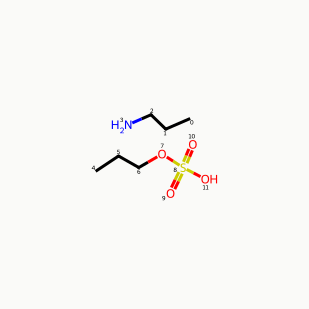 CCCN.CCCOS(=O)(=O)O